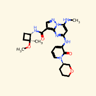 CNc1cc(Nc2cccn([C@@H]3CCCOC3)c2=O)nc2c(C(=O)N[C@H]3CC[C@]3(C)OC)cnn12